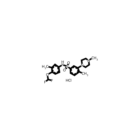 Cc1cc(NS(=O)(=O)c2ccc(C)c(N3CCN(C)CC3)c2)ccc1OC(F)F.Cl